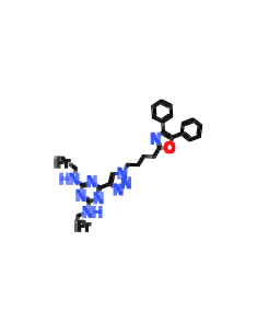 CC(C)CNc1nc(NCC(C)C)nc(-c2cn(CCCCc3nc(-c4ccccc4)c(-c4ccccc4)o3)nn2)n1